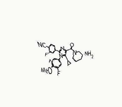 COc1ncc(-n2c(-c3ccc(C#N)c(F)c3)nc(C(=O)N3CCC[C@@H](N)C3)c2C2CC2)cc1F